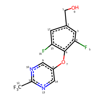 OCc1cc(F)c(Oc2cnc(C(F)(F)F)nc2)c(F)c1